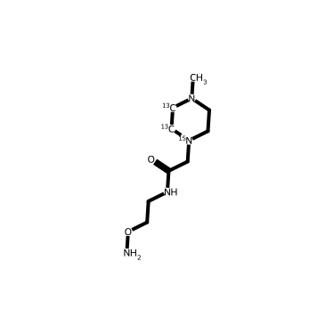 CN1CC[15N](CC(=O)NCCON)[13CH2][13CH2]1